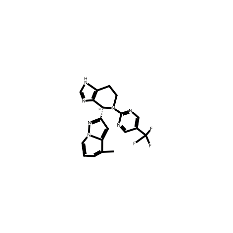 Cc1cccn2nc([C@@H]3c4nc[nH]c4CCN3c3ncc(C(F)(F)F)cn3)cc12